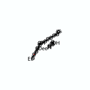 CCCCCCCCCCCC1CCCC=N1.CCOCCOCCOCCOCCOC(C)(O)COCCOCCOCCOCCOCCOc1ccccc1.COS(=O)(=O)O